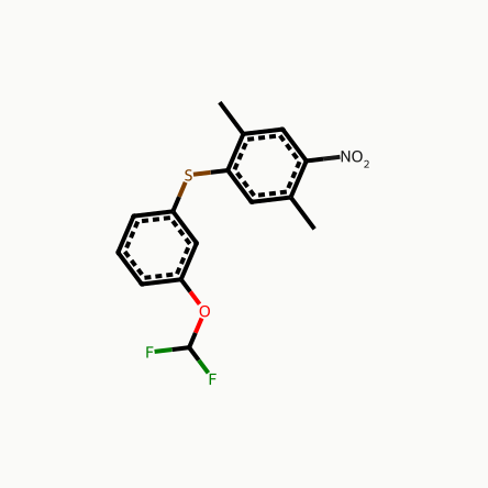 Cc1cc([N+](=O)[O-])c(C)cc1Sc1cccc(OC(F)F)c1